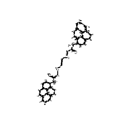 O=C(COCCOCC(=O)Nc1ccc2ccc3cccc4ccc1c2c34)Nc1ccc2ccc3cccc4ccc1c2c34